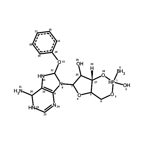 B[PH]1(O)OCC2OC(N3C4=C(NC3Oc3ccccc3)C(N)NC=N4)C(O)[C@@H]2O1